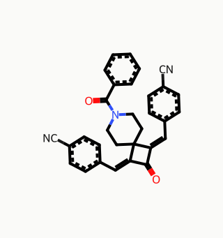 N#Cc1ccc(/C=C2/C(=O)/C(=C/c3ccc(C#N)cc3)C23CCN(C(=O)c2ccccc2)CC3)cc1